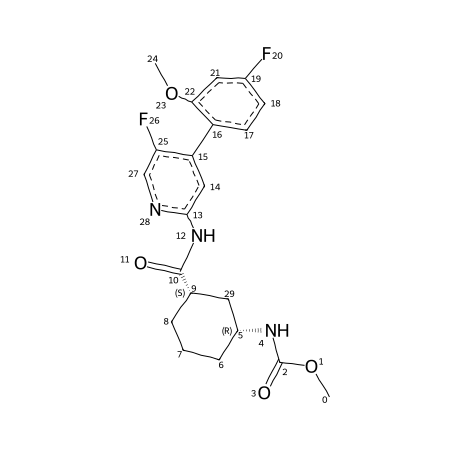 COC(=O)N[C@@H]1CCC[C@H](C(=O)Nc2cc(-c3ccc(F)cc3OC)c(F)cn2)C1